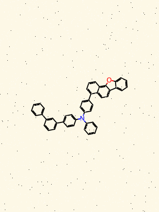 c1ccc(-c2cccc(-c3ccc(N(c4ccccc4)c4ccc(-c5cccc6c5ccc5c7ccccc7oc65)cc4)cc3)c2)cc1